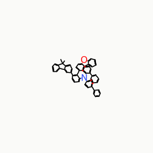 CC1(C)c2ccccc2-c2cc(-c3cccc(N(c4ccc(-c5ccccc5)cc4)c4ccccc4-c4ccccc4)c3-c3ccc4oc5ccccc5c4c3)ccc21